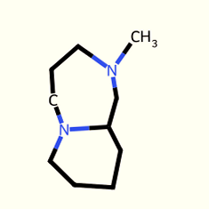 CN1CCCN2CCCCC2C1